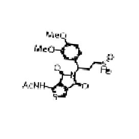 COc1ccc(C(CC[SH](=O)=O)N2C(=O)c3csc(NC(C)=O)c3C2=O)cc1OC